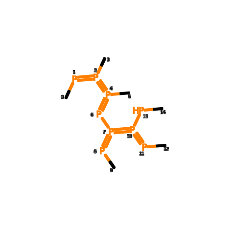 CP=P(C)=P(C)=PP(=PC)=P(=PC)PC